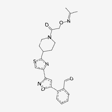 CC(C)=NOCC(=O)N1CCC(c2nc(-c3cc(-c4ccccc4C=O)on3)cs2)CC1